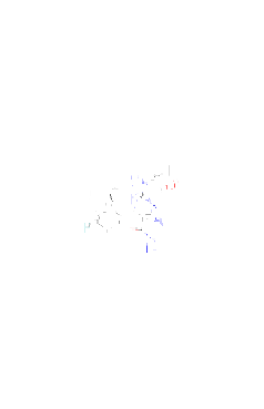 Cc1cc(F)ccc1-c1nc(N[C@@H](C)CO)nc2c1C(=O)NCN2